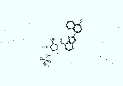 NS(=O)(=O)OC[C@H]1C[C@@H](Nc2ccnc3cc(-c4ccc(Cl)c5ccccc45)nn23)[C@H](O)[C@@H]1O